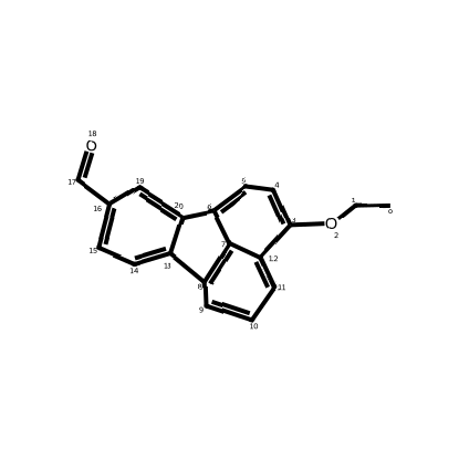 CCOc1ccc2c3c(cccc13)-c1ccc(C=O)cc1-2